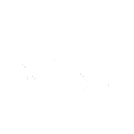 COC(=O)Nc1ccc(F)c(C(C)c2c[nH]c3ncc(Cl)cc23)c1F